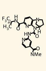 CNC(=O)c1ccnc(NC(=O)N2c3nc(C(=O)N[C@H](C)C(F)(F)F)ccc3N3CC[C@H]2C3)c1